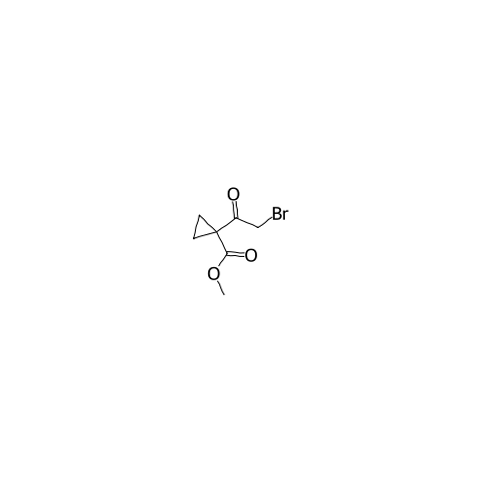 COC(=O)C1(C(=O)CBr)CC1